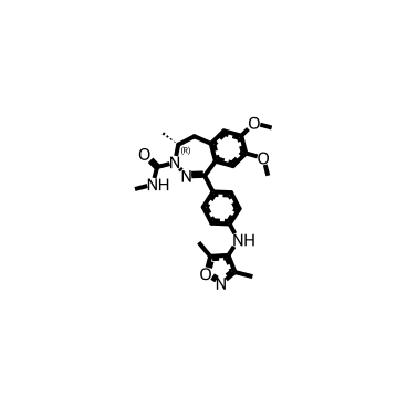 CNC(=O)N1N=C(c2ccc(Nc3c(C)noc3C)cc2)c2cc(OC)c(OC)cc2C[C@H]1C